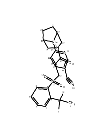 CC(F)(F)c1ccccc1S(=O)(=O)CCC(=O)N1CC2CCC(C1)N2c1ccc(C#N)cn1